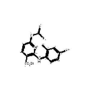 CCOC(=O)c1ccc(OC(F)F)nc1Nc1ccc(F)cc1C